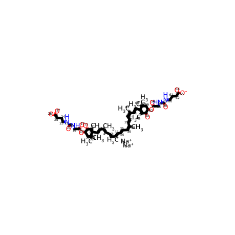 CC(C=CC=C(C)C=CC1=C(C)C(=O)C(OC(=O)CNC(=O)NCCCC(=O)[O-])CC1(C)C)=CC=CC=C(C)C=CC=C(C)C=CC1=C(C)C(=O)C(OC(=O)CNC(=O)NCCCC(=O)[O-])CC1(C)C.[Na+].[Na+]